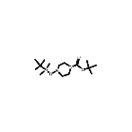 CC(C)(C)OC(=O)N1CCN(O[Si](C)(C)C(C)(C)C)CC1